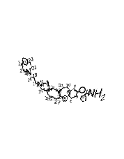 NC(=O)Oc1ccc2c(c1)CCc1cc(CNCCCN3CCOCC3)ccc1O2